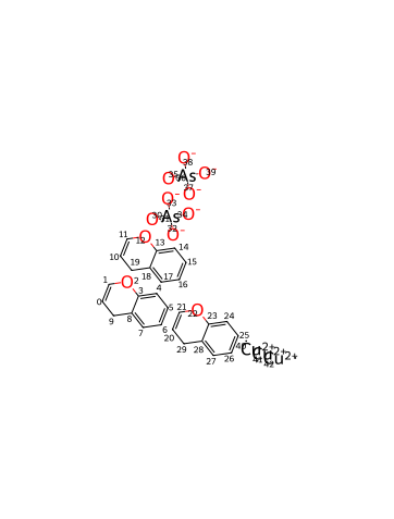 C1=COc2ccccc2C1.C1=COc2ccccc2C1.C1=COc2ccccc2C1.O=[As]([O-])([O-])[O-].O=[As]([O-])([O-])[O-].[Cu+2].[Cu+2].[Cu+2]